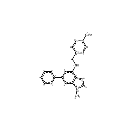 COc1ccc(CNc2nc(-c3ccccn3)nc3c2cnn3C)cc1